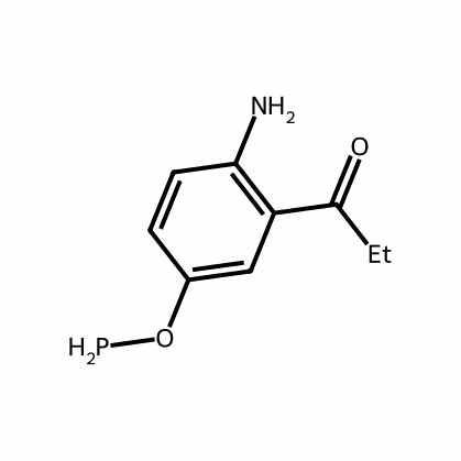 CCC(=O)c1cc(OP)ccc1N